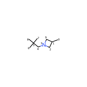 CC1CN(CC(C)(C)C)C1